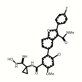 CNC(=O)c1c(-c2ccc(F)cc2)oc2ccc(-c3cc(C(=O)NC4(C(=N)NO)CC4)c(OC)cc3Cl)cc12